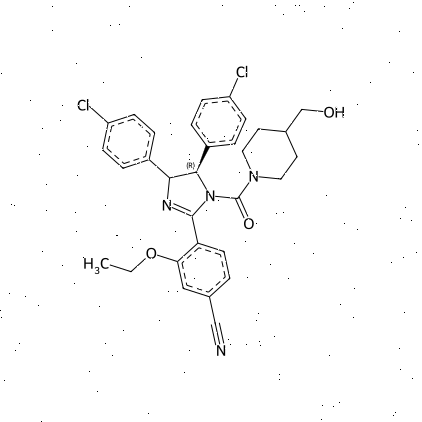 CCOc1cc(C#N)ccc1C1=NC(c2ccc(Cl)cc2)[C@@H](c2ccc(Cl)cc2)N1C(=O)N1CCC(CO)CC1